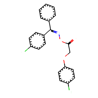 O=C(COc1ccc(Cl)cc1)ON=C(c1ccccc1)c1ccc(Cl)cc1